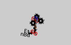 CCCCC(CC)COC(=O)CCSc1cccc(S(=O)(=O)N2CCCC2c2ccccc2)c1